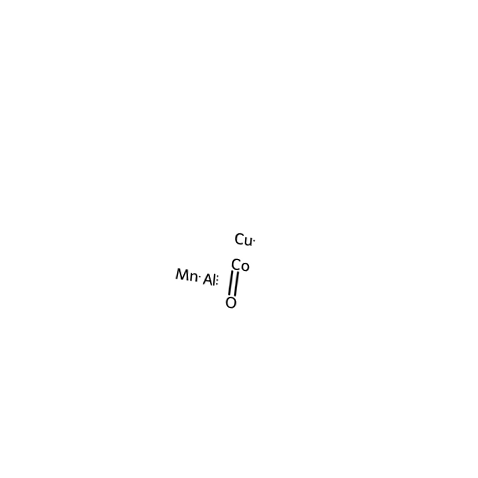 [Al].[Cu].[Mn].[O]=[Co]